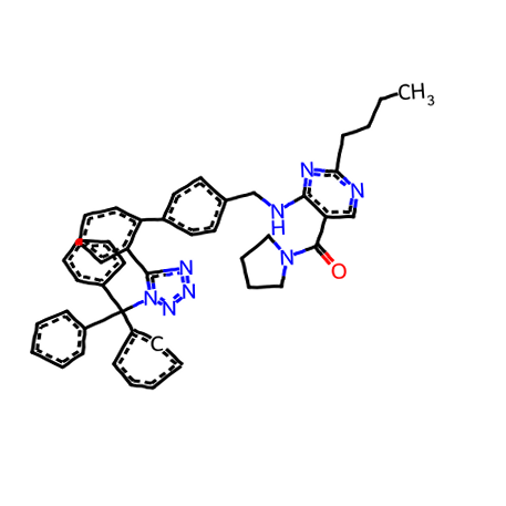 CCCCc1ncc(C(=O)N2CCCC2)c(NCc2ccc(-c3ccccc3-c3nnnn3C(c3ccccc3)(c3ccccc3)c3ccccc3)cc2)n1